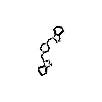 c1ccc2c(c1)nnn2CN1CCN(Cn2nnc3ccccc32)CC1